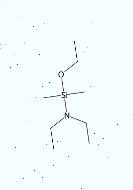 CCO[Si](C)(C)N(CC)CC